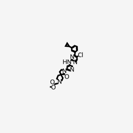 COC(=O)CN1CCC2(CC1)CCN(c1cncc(Nc3ncc(Cl)c(-c4cccc(C5CC5)c4)n3)c1)C2=O